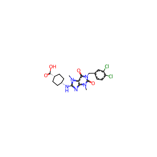 Cn1c(N[C@H]2CC[C@@H](C(=O)O)CC2)nc2c1c(=O)n(Cc1ccc(Cl)c(Cl)c1)c(=O)n2C